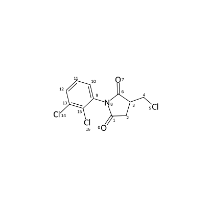 O=C1CC(CCl)C(=O)N1c1cccc(Cl)c1Cl